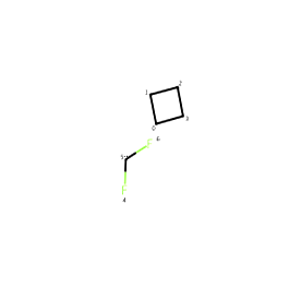 C1CCC1.F[C]F